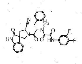 CN(C(=O)C(=O)Nc1ccc(F)c(F)c1)[C@@H](Cc1ccccc1)C(=O)N1C[C@]2(C[C@H]1C#N)C(=O)Nc1ccccc12